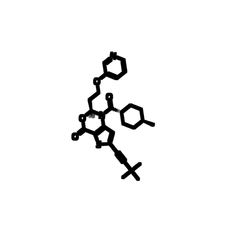 CC(C)(C)C#Cc1cc2c(s1)C(=O)O[C@@H](CCOc1cccnc1)N2C(=O)[C@H]1CC[C@H](C)CC1